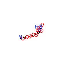 CN1CC[C@@H](OCCOCCOCCOCCOc2ccc3c(c2)C(=O)N(C2CCC(=O)NC2=O)C3=O)C1